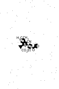 CCOC(=O)[C@@H]1CN(c2nc(C3CC3)c3c(c2C#N)CC(C)(C)OC3)CCN1C(=O)c1ccoc1